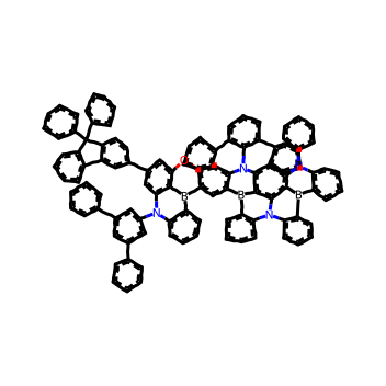 c1ccc(-c2cc(-c3ccccc3)cc(N3c4ccccc4B4c5cc6c(cc5Oc5cc(-c7ccc8c(c7)-c7ccccc7C8(c7ccccc7)c7ccccc7)cc3c54)N(c3c(-c4ccccc4)cccc3-c3ccccc3)c3cc4c5c7c3B6c3ccccc3N7c3ccccc3B5c3ccccc3N4c3ccccc3)c2)cc1